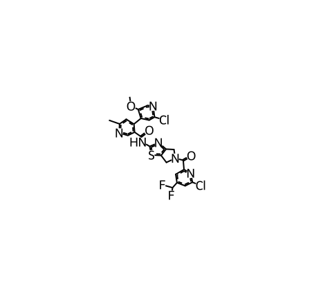 COc1cnc(Cl)cc1-c1cc(C)ncc1C(=O)Nc1nc2c(s1)CN(C(=O)c1cc(C(F)F)cc(Cl)n1)C2